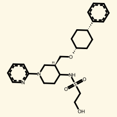 O=S(=O)(CCO)NC1CCN(c2ccccn2)C[C@H]1CO[C@H]1CC[C@@H](c2ccccc2)CC1